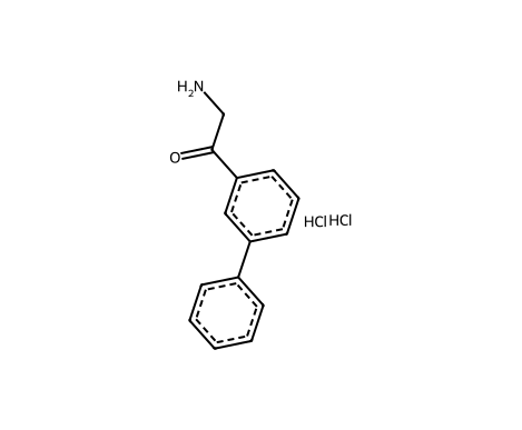 Cl.Cl.NCC(=O)c1cccc(-c2ccccc2)c1